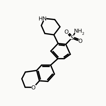 NS(=O)(=O)c1ccc(-c2ccc3c(c2)CCCO3)cc1C1CCNCC1